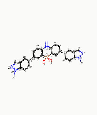 Cn1ncc2cc(-c3ccc4c(c3)S(=O)(=O)c3cc(-c5ccc6c(cnn6C)c5)ccc3N4)ccc21